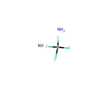 F[B-](F)(F)F.N.[KH]